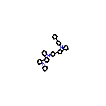 c1ccc(-c2ccc(-n3c4ccccc4c4ccc(-c5ccc(-n6c7ccccc7c7c8c9ccccc9n(-c9ccccc9)c8ccc76)cc5)cc43)cc2)cc1